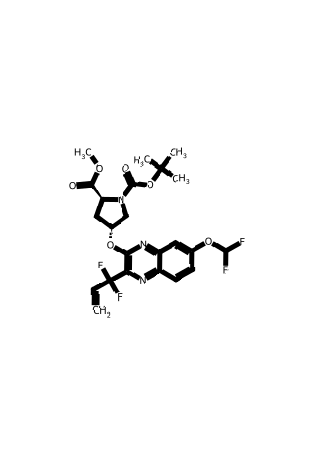 C=CC(F)(F)c1nc2ccc(OC(F)F)cc2nc1O[C@@H]1C[C@@H](C(=O)OC)N(C(=O)OC(C)(C)C)C1